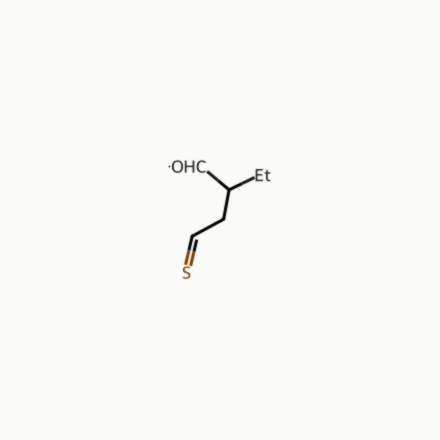 CCC([C]=O)CC=S